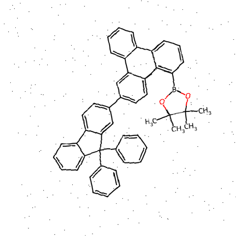 CC1(C)OB(c2cccc3c4ccccc4c4cc(-c5ccc6c(c5)C(c5ccccc5)(c5ccccc5)c5ccccc5-6)ccc4c23)OC1(C)C